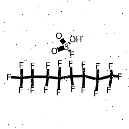 FC(F)(F)C(F)(F)C(F)(F)C(F)(F)C(F)(F)C(F)(F)C(F)(F)C(F)(F)F.O=S(=O)(O)F